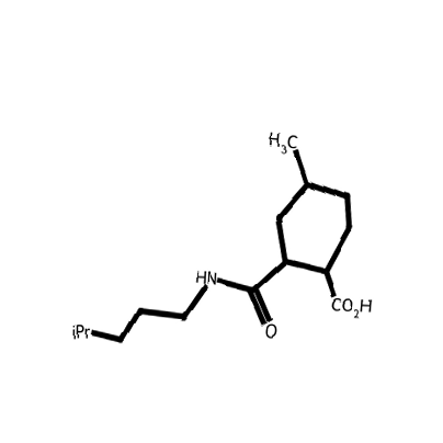 CC(C)CCCNC(=O)C1CC(C)CCC1C(=O)O